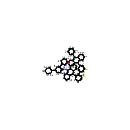 C1=CC2C(c3cccc4sc5ccc(-c6c7ccccc7c(-c7ccccc7)c7ccccc67)cc5c34)=c3ccccc3=C(n3c4ccccc4c4cc(C5=CCCC=C5)ccc43)C2C=C1